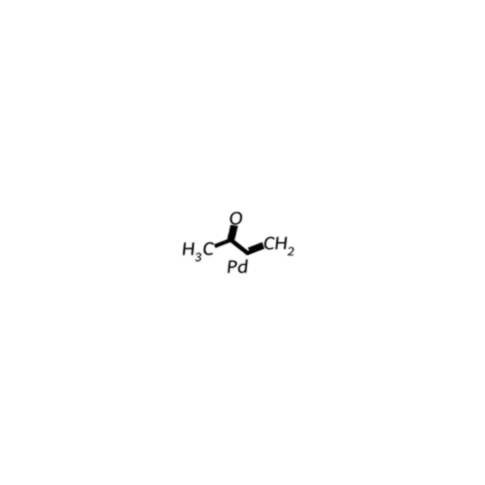 C=CC(C)=O.[Pd]